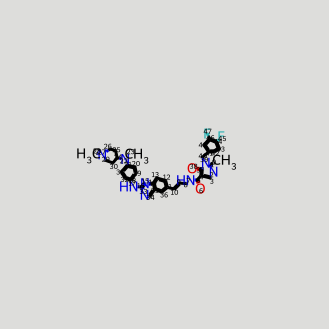 Cc1ncc(C(=O)NC/C=C/c2ccc3nc(Nc4ccc(N(C)C5CCN(C)CC5)cc4)ncc3c2)c(=O)n1Cc1ccc(F)c(F)c1